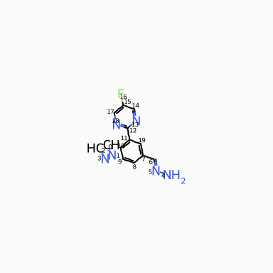 C#N.C#N.NN=Cc1cccc(-c2ncc(F)cn2)c1